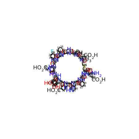 CCCC[C@H]1C(=O)NC(C)(C)C(=O)N[C@@H](CC2CCCCC2)C(=O)N[C@@H](Cc2ccc(F)cc2)C(=O)NC2(CCN(CC(=O)O)CC2)C(=O)N[C@@H](Cc2ccc(O)cc2)C(=O)N[C@@H](Cc2ccc(O)cc2)C(=O)N[C@@H](Cc2ccc(C(=O)O)cc2)C(=O)N[C@@H](CC2CCNCC2)C(=O)N[C@@H](CC2CCCCC2)C(=O)N[C@H](C(=O)N[C@H](CCC(=O)O)C(N)=O)CSCC(=O)N(C)[C@@H](CCC(=O)O)C(=O)N1C